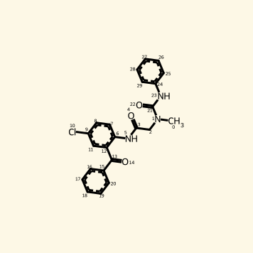 CN(CC(=O)Nc1ccc(Cl)cc1C(=O)c1ccccc1)C(=O)Nc1ccccc1